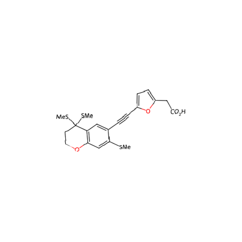 CSc1cc2c(cc1C#Cc1ccc(CC(=O)O)o1)C(SC)(SC)CCO2